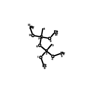 CCO[Si](C)(OC(C)C)O[Si](C)(OCC)OC(C)C